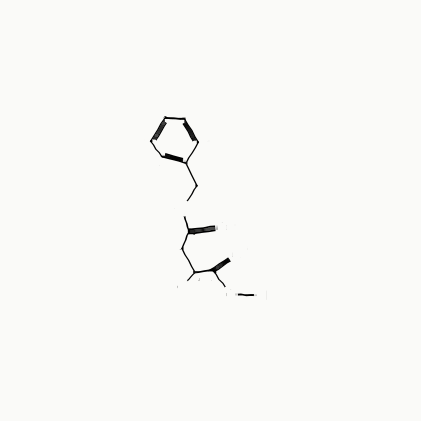 COC(=O)C(C)CC(=O)SCc1ccccc1